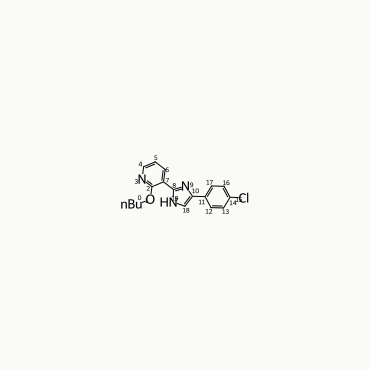 CCCCOc1ncccc1-c1nc(-c2ccc(Cl)cc2)c[nH]1